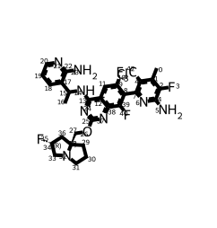 Cc1c(F)c(N)nc(-c2c(Cl)cc3c(NC(C)c4cccnc4N)nc(OC[C@@]45CCCN4C[C@H](F)C5)nc3c2F)c1C(F)(F)F